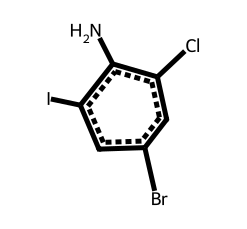 Nc1c(Cl)cc(Br)cc1I